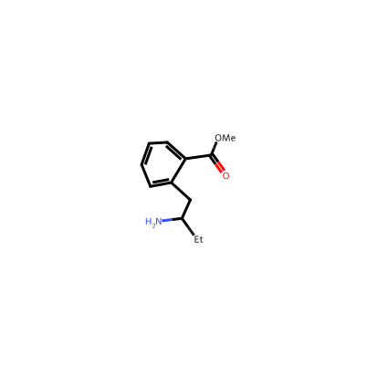 CCC(N)Cc1ccccc1C(=O)OC